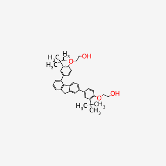 CC(C)(C)c1cc(-c2ccc3c(c2)Cc2cccc(-c4ccc(OCCO)c(C(C)(C)C)c4)c2-3)ccc1OCCO